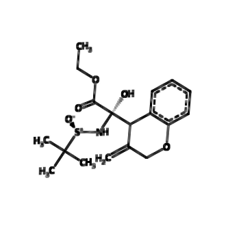 C=C1COc2ccccc2C1[C@@](O)(N[S@+]([O-])C(C)(C)C)C(=O)OCC